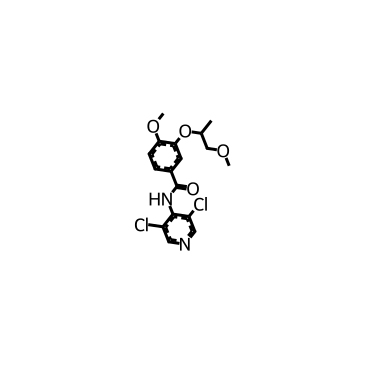 COCC(C)Oc1cc(C(=O)Nc2c(Cl)cncc2Cl)ccc1OC